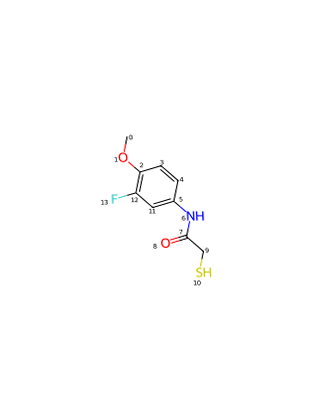 COc1ccc(NC(=O)CS)cc1F